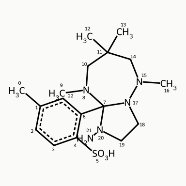 Cc1ccc(S(=O)(=O)O)c(C23N(C)CC(C)(C)CN(C)N2CCN3N)c1